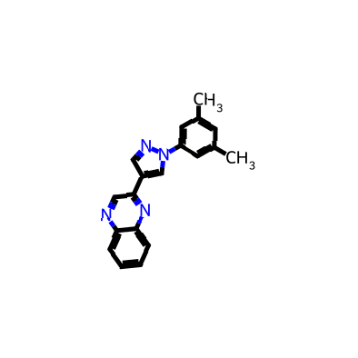 Cc1cc(C)cc(-n2cc(-c3cnc4ccccc4n3)cn2)c1